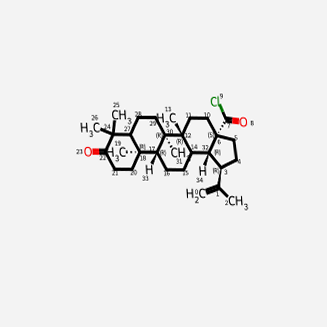 C=C(C)[C@@H]1CC[C@]2(C(=O)Cl)CC[C@]3(C)C(CC[C@@H]4[C@@]5(C)CCC(=O)C(C)(C)C5CC[C@]43C)[C@@H]12